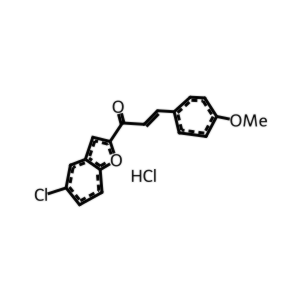 COc1ccc(C=CC(=O)c2cc3cc(Cl)ccc3o2)cc1.Cl